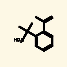 C=C(C)c1ccccc1C(C)(C)S(=O)(=O)O